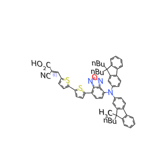 CCCCC1(C)c2ccccc2-c2ccc(N(c3ccc4c(c3)C(CCCC)(CCCC)c3ccccc3-4)c3ccc(-c4ccc(-c5ccc(/C=C(\C#N)C(=O)O)s5)s4)c4nonc34)cc21